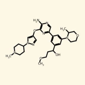 COCCC(O)c1cc(-c2cnc(N)c(Oc3cnn(C4CCN(C)CC4)c3)n2)cc(N2CCOCC2C)c1